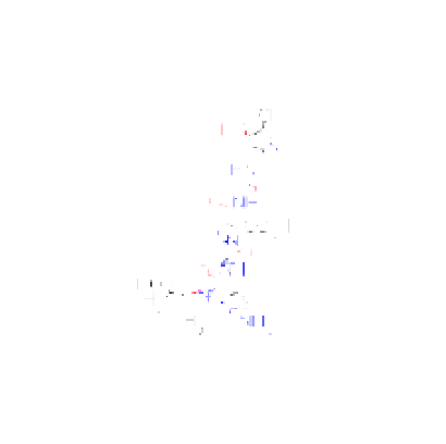 Cc1cnc(CNC(=O)CNC(=O)C2=C(C(=O)O)N3C(=O)[C@@H](NC(=O)/C(=N\OC(C)(C)C(=O)O)c4csc(N)n4)CN3C2)cc1O